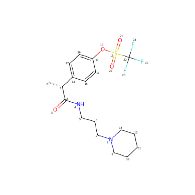 C[C@@H](C(=O)NCCCN1CCCCC1)c1ccc(OS(=O)(=O)C(F)(F)F)cc1